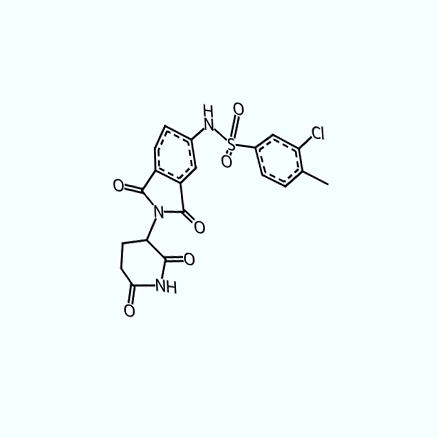 Cc1ccc(S(=O)(=O)Nc2ccc3c(c2)C(=O)N(C2CCC(=O)NC2=O)C3=O)cc1Cl